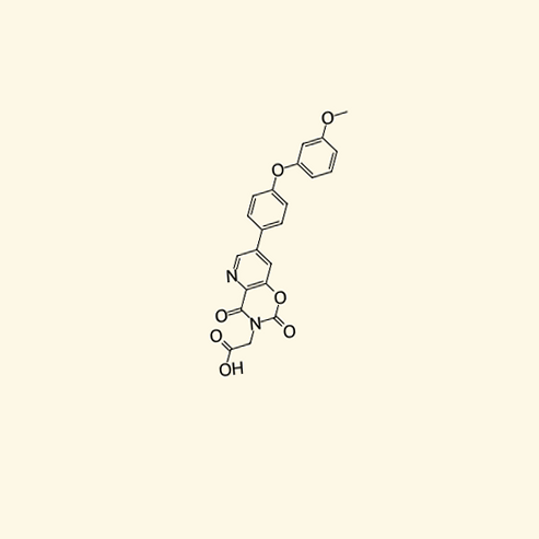 COc1cccc(Oc2ccc(-c3cnc4c(=O)n(CC(=O)O)c(=O)oc4c3)cc2)c1